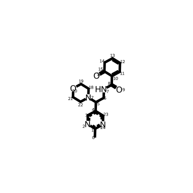 Cc1ncc(C(CNC(=O)C2=CC=CCC2=O)N2CCOCC2)cn1